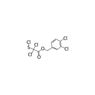 O=C(OCc1ccc(Cl)c(Cl)c1)C(Cl)(Cl)SCl